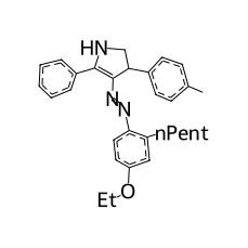 CCCCCc1cc(OCC)ccc1N=NC1=C(c2ccccc2)NCC1c1ccc(C)cc1